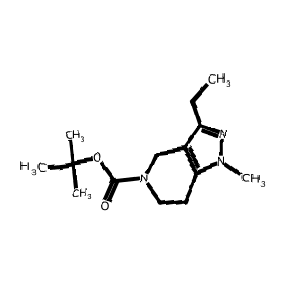 CCc1nn(C)c2c1CN(C(=O)OC(C)(C)C)CC2